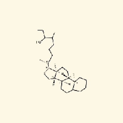 CCC(O)C(C)CCC[C@@H](C)[C@H]1CC[C@H]2[C@@H]3CCC4CCCC[C@]4(C)[C@H]3CC[C@]12C